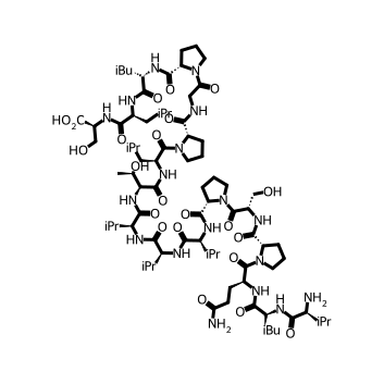 CC[C@H](C)[C@H](NC(=O)[C@@H](N)C(C)C)C(=O)N[C@@H](CCC(N)=O)C(=O)N1CCC[C@H]1C(=O)N[C@@H](CO)C(=O)N1CCC[C@H]1C(=O)N[C@H](C(=O)N[C@H](C(=O)N[C@H](C(=O)N[C@H](C(=O)N[C@@H](CC(C)C)C(=O)N1CCC[C@H]1C(=O)NCC(=O)N1CCC[C@H]1C(=O)N[C@H](C(=O)N[C@@H](CC(C)C)C(=O)N[C@@H](CO)C(=O)O)[C@@H](C)CC)[C@@H](C)O)C(C)C)C(C)C)C(C)C